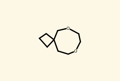 C1CC2(C1)CCOCCOC2